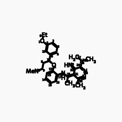 CCOc1cccc(C(CCNC)Oc2ccccc2N/C(C)=C2\C(=N)C(N(C)C)=NN=C2C)c1